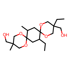 CCC1CC2(OCC(C)(CO)CO2)C(C)CC12OCC(CC)(CO)CO2